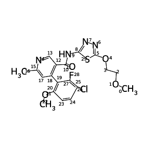 COCCOc1nnc(NC(=O)c2cnc(C)cc2-c2c(OC)ccc(Cl)c2F)s1